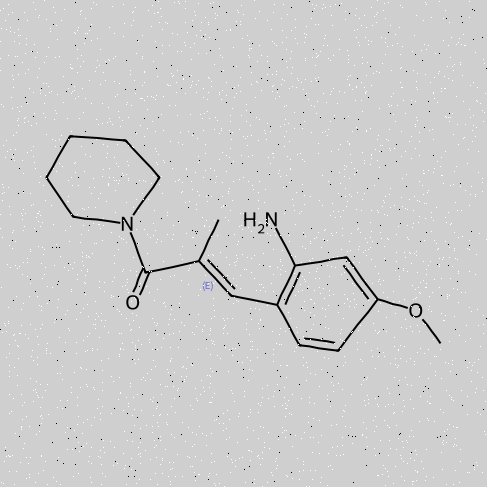 COc1ccc(/C=C(\C)C(=O)N2CCCCC2)c(N)c1